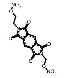 O=c1c2cc3c(=O)n(CO[N+](=O)[O-])c(=O)c3cc2c(=O)n1CCO[N+](=O)[O-]